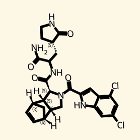 NC(=O)C(C[C@@H]1CCNC1=O)NC(=O)[C@@H]1[C@@H]2[C@H](CN1C(=O)c1cc3c(Cl)cc(Cl)cc3[nH]1)[C@@H]1C=C[C@H]2C1